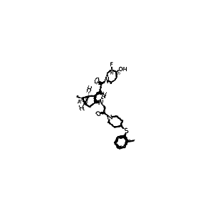 Cc1ccccc1SC1CCN(C(=O)Cn2nc(C(=O)N3CC[C@H](O)[C@H](F)C3)c3c2C[C@H]2[C@@H](C)[C@@H]32)CC1